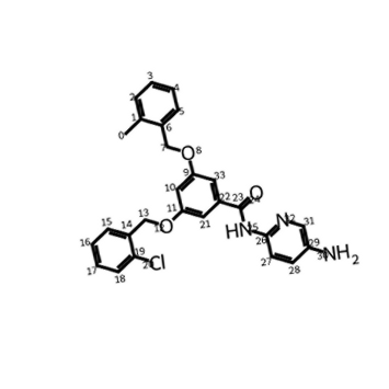 Cc1ccccc1COc1cc(OCc2ccccc2Cl)cc(C(=O)Nc2ccc(N)cn2)c1